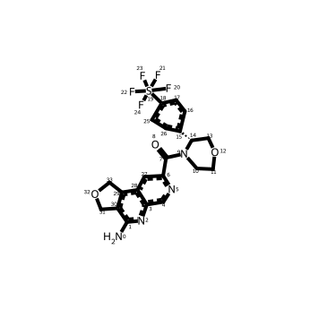 Nc1nc2cnc(C(=O)N3CCOC[C@H]3c3ccc(S(F)(F)(F)(F)F)cc3)cc2c2c1COC2